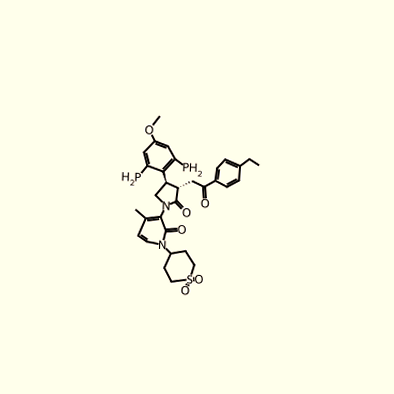 CCc1ccc(C(=O)C[C@@H]2C(=O)N(c3c(C)ccn(C4CCS(=O)(=O)CC4)c3=O)C[C@H]2c2c(P)cc(OC)cc2P)cc1